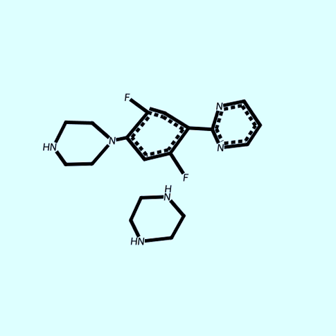 C1CNCCN1.Fc1cc(N2CCNCC2)c(F)cc1-c1ncccn1